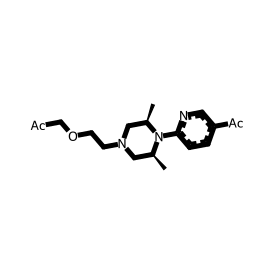 CC(=O)COCCN1C[C@@H](C)N(c2ccc(C(C)=O)cn2)[C@@H](C)C1